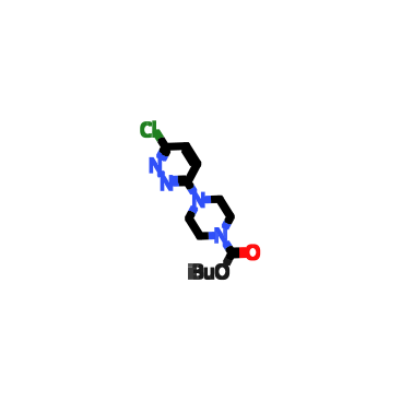 CC(C)COC(=O)N1CCN(c2ccc(Cl)nn2)CC1